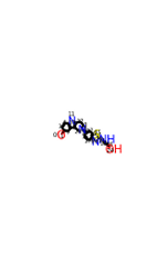 COc1ccc2c(c1)c1c(n2C)CCN(c2ccc3nc(NCCO)sc3c2)C1